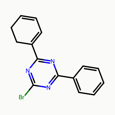 Brc1nc(C2=CC=CCC2)nc(-c2ccccc2)n1